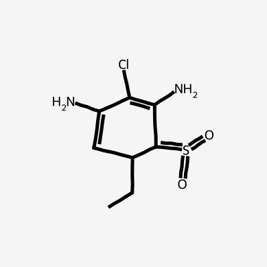 CCC1C=C(N)C(Cl)=C(N)C1=S(=O)=O